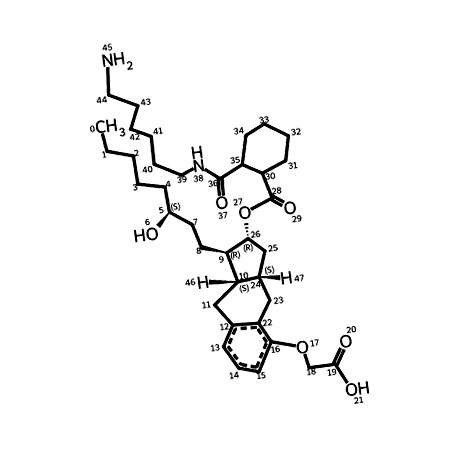 CCCCC[C@H](O)CC[C@@H]1[C@H]2Cc3cccc(OCC(=O)O)c3C[C@H]2C[C@H]1OC(=O)C1CCCCC1C(=O)NCCCCCCN